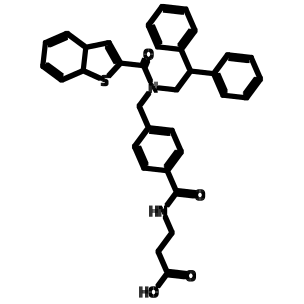 O=C(O)CCNC(=O)c1ccc(CN(CC(c2ccccc2)c2ccccc2)C(=O)C2=CC3C=CC=CC3S2)cc1